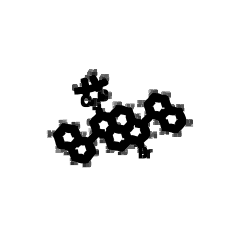 CC1(C)OB(c2cc(-c3cccc4ccccc34)c3ccc4c(Br)cc(-c5cccc6ccccc56)c5ccc2c3c45)OC1(C)C